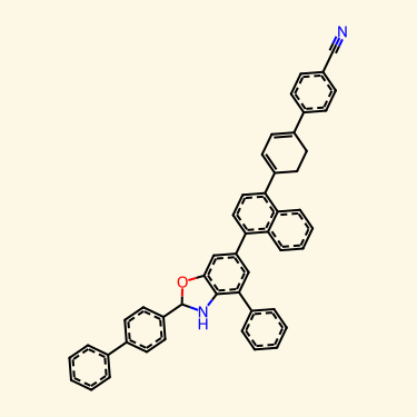 N#Cc1ccc(C2=CC=C(c3ccc(-c4cc5c(c(-c6ccccc6)c4)NC(c4ccc(-c6ccccc6)cc4)O5)c4ccccc34)CC2)cc1